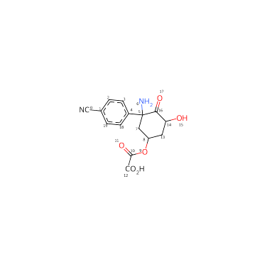 N#Cc1ccc(C2(N)CC(OC(=O)C(=O)O)CC(O)C2=O)cc1